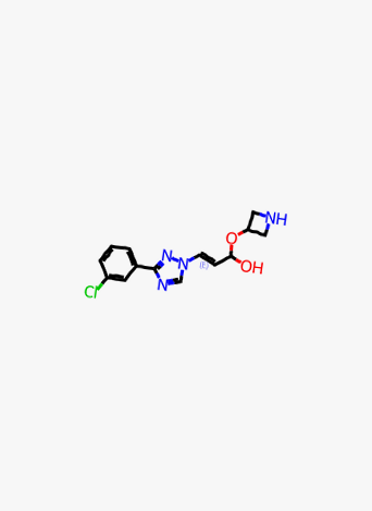 OC(/C=C/n1cnc(-c2cccc(Cl)c2)n1)OC1CNC1